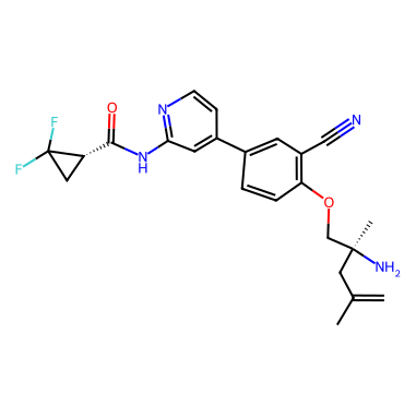 C=C(C)C[C@](C)(N)COc1ccc(-c2ccnc(NC(=O)[C@@H]3CC3(F)F)c2)cc1C#N